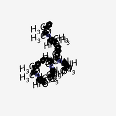 CCC1(CC)C(=O)Nc2ncc(/C=C/C(=O)N(C)Cc3cc4ccccc4n3C)cc21.CN(Cc1cc2ccccc2s1)C(=O)/C=C/c1cnc2c(c1)C(C)(C)C(=O)N2.Cc1c(CN(C)C(=O)/C=C/c2cnc3c(c2)C(C)(C)C(=O)N3)oc2ccccc12.Cc1c(CN(C)C(=O)/C=C/c2cnc3c(c2)C(C)(C)C(=O)N3)sc2ccccc12